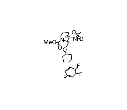 COC(=O)N1CCC[C@H](NS(C)(=O)=O)[C@@H]1CO[C@H]1CC[C@@H](c2cc(F)cc(F)c2F)CC1